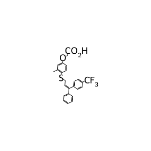 Cc1cc(OCC(=O)O)ccc1SCC=C(c1ccccc1)c1ccc(C(F)(F)F)cc1